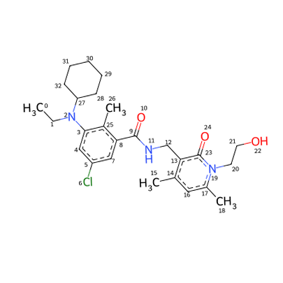 CCN(c1cc(Cl)cc(C(=O)NCc2c(C)cc(C)n(CCO)c2=O)c1C)C1CCCCC1